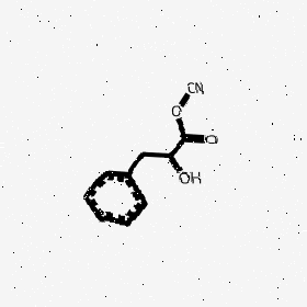 N#COC(=O)C(O)Cc1ccccc1